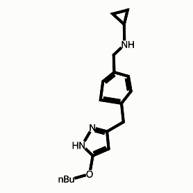 CCCCOc1cc(Cc2ccc(CNC3CC3)cc2)n[nH]1